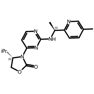 Cc1ccc([C@H](C)Nc2nccc(N3C(=O)OC[C@@H]3C(C)C)n2)nc1